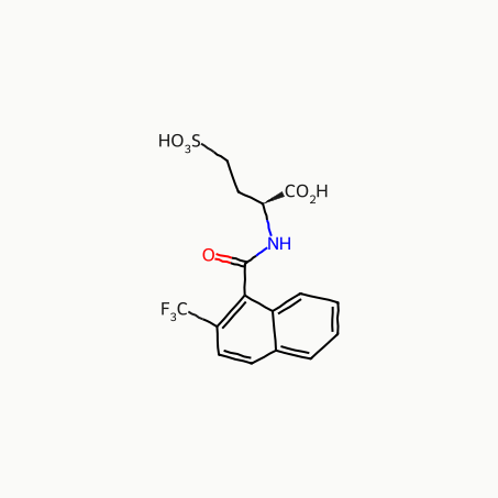 O=C(N[C@@H](CCS(=O)(=O)O)C(=O)O)c1c(C(F)(F)F)ccc2ccccc12